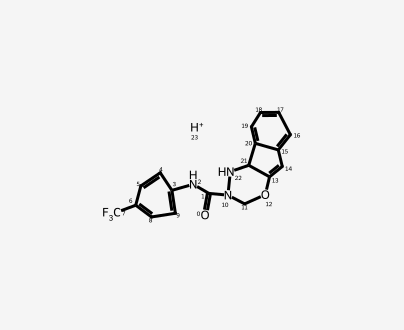 O=C(Nc1ccc(C(F)(F)F)cc1)N1COC2=Cc3ccccc3C2N1.[H+]